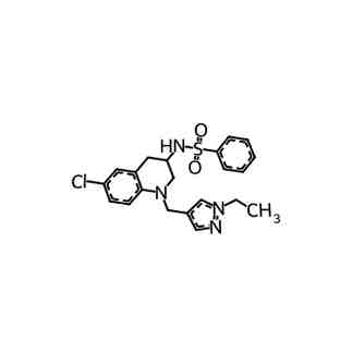 CCn1cc(CN2CC(NS(=O)(=O)c3ccccc3)Cc3cc(Cl)ccc32)cn1